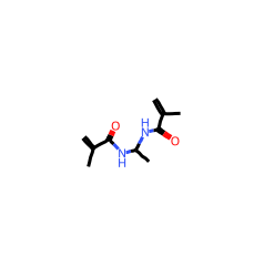 C=C(C)C(=O)NC(C)NC(=O)C(=C)C